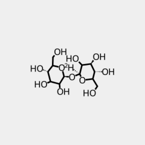 [2H][C@@]1(O[C@@H]2OC(CO)[C@@H](O)C(O)C2O)OC(CO)[C@@H](O)[C@H](O)C1O